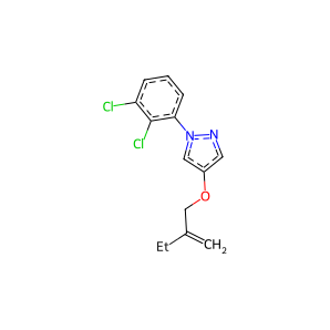 C=C(CC)COc1cnn(-c2cccc(Cl)c2Cl)c1